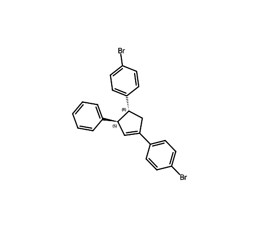 Brc1ccc(C2=C[C@@H](c3ccccc3)[C@H](c3ccc(Br)cc3)C2)cc1